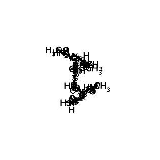 CCNC(=O)SCCC1CCC(CCSC(=O)NC(C)(C)C)C(CCSC(=O)NCCCCCCNC(=O)SCCC2CC(CCSC(=O)NS)CCC2CCSC(=O)NCC)C1